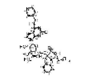 C=C(C)[C@@]1(O)[C@@H](COC(Cc2ccccc2)(C(=O)O)C(=O)OCC)O[C@@H](n2cnc3c(NCc4ccncc4)nc(Cl)nc32)[C@@H]1O